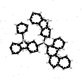 c1ccc(-n2c3ccccc3c3ccc(N(c4ccc5oc6ccccc6c5c4)c4cc5ccc6ccccc6c5c5ccccc45)cc32)cc1